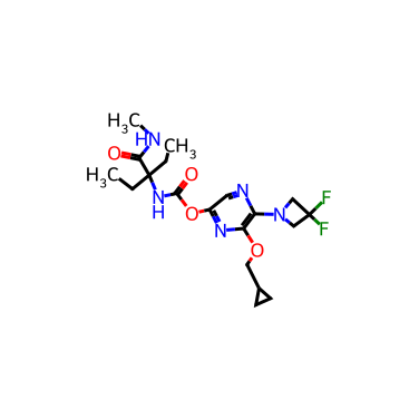 CCC(CC)(NC(=O)Oc1cnc(N2CC(F)(F)C2)c(OCC2CC2)n1)C(=O)NC